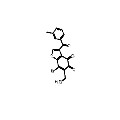 BCC1=C(Br)c2occ(C(=O)c3cccc(C)c3)c2C(=O)C1=O